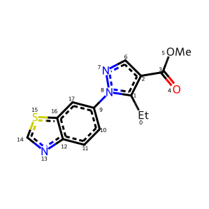 CCc1c(C(=O)OC)cnn1-c1ccc2ncsc2c1